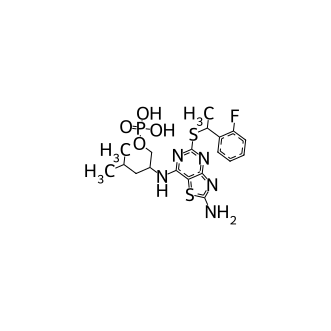 CC(C)CC(COP(=O)(O)O)Nc1nc(SC(C)c2ccccc2F)nc2nc(N)sc12